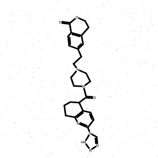 O=C1OCCc2cc(CCN3CCN(C(=O)C4CCCc5nc(N6C=NNN6)ccc54)CC3)ccc21